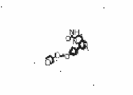 NC(=O)c1ccc2cncc(-c3ccc(OCCOC4CCOCC4)cc3)c2n1